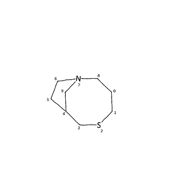 C1CSCC2CCN(C1)C2